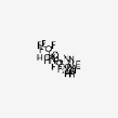 [2H]C([2H])([2H])c1nc(-c2ccc(NC(=O)[C@H](O)c3cc(F)cc(C(F)(F)F)c3)c(F)c2F)c2c(N)ncc(C(F)(F)F)n12